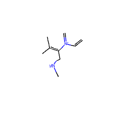 C=C[N+](=C)C(CNC)=C(C)C